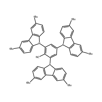 CC(C)(C)c1ccc2c(c1)c1cc(C(C)(C)C)ccc1n2-c1cc(-n2c3ccc(C(C)(C)C)cc3c3cc(C(C)(C)C)ccc32)c(C#N)c(-n2c3ccc(C(C)(C)C)cc3c3cc(C(C)(C)C)ccc32)c1